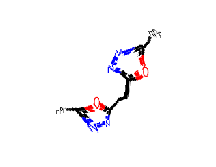 CCCc1nnc(Cc2nnc(CCC)o2)o1